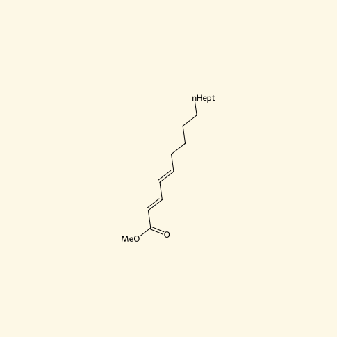 CCCCCCCCCCCC=CC=CC(=O)OC